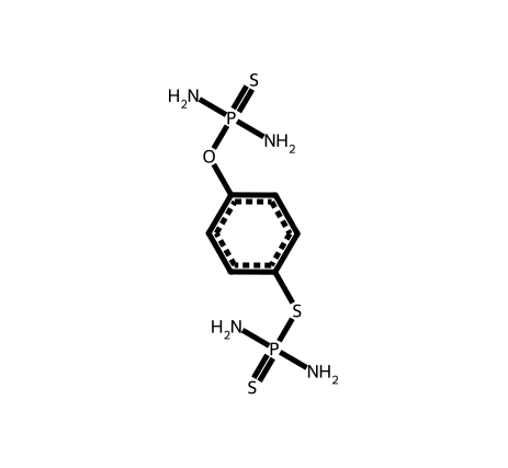 NP(N)(=S)Oc1ccc(SP(N)(N)=S)cc1